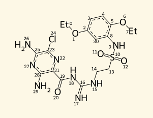 CCOc1ccc(OCC)c(NS(=O)(=O)CCNC(=N)NC(=O)c2nc(Cl)c(N)nc2N)c1